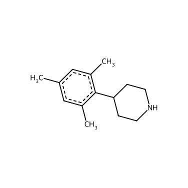 Cc1cc(C)c(C2CCNCC2)c(C)c1